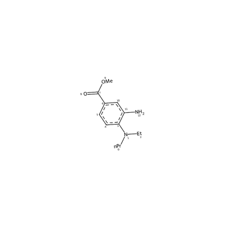 CCCN(CC)c1ccc(C(=O)OC)cc1N